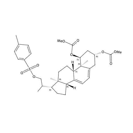 COC(=O)O[C@@H]1CC2=CC=C3[C@@H]4CC[C@H](C(C)COS(=O)(=O)c5ccc(C)cc5)[C@@]4(C)CC[C@@H]3[C@@]2(C)[C@@H](OC(=O)OC)C1